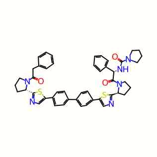 O=C(N[C@H](C(=O)N1CCC[C@H]1c1ncc(-c2ccc(-c3ccc(-c4cnc([C@@H]5CCCN5C(=O)Cc5ccccc5)s4)cc3)cc2)s1)c1ccccc1)N1CCCC1